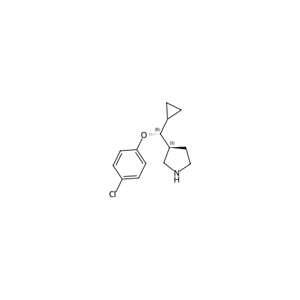 Clc1ccc(O[C@H](C2CC2)[C@H]2CCNC2)cc1